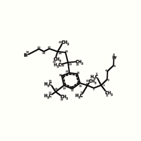 CC(C)(CCCBr)CC(C)(C)c1cc(C(C)(C)C)cc(C(C)(C)CC(C)(C)CCCBr)c1